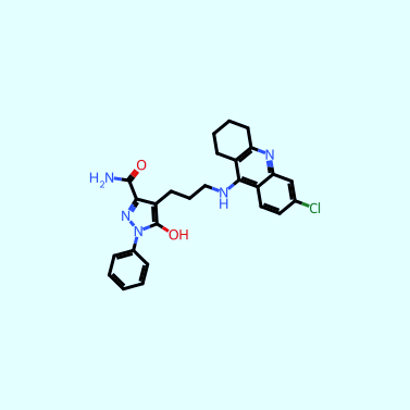 NC(=O)c1nn(-c2ccccc2)c(O)c1CCCNc1c2c(nc3cc(Cl)ccc13)CCCC2